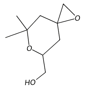 CC1(C)CC2(CO2)CC(CO)O1